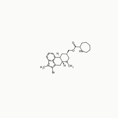 CN1C[C@H](COC(=O)C2CCCCCN2)C[C@@H]2c3cccc4c3c(c(Br)n4C)C[C@H]21